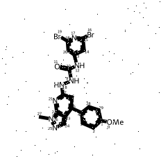 COc1ccc(-c2cc(NNC(=O)Nc3cc(Br)nc(Br)c3)nc3c2cnn3C)cc1